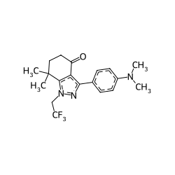 CN(C)c1ccc(-c2nn(CC(F)(F)F)c3c2C(=O)CCC3(C)C)cc1